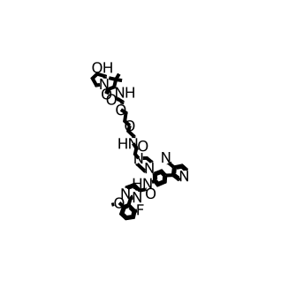 COc1cccc(F)c1-c1nccc(C(=O)Nc2ccc(-c3cnccc3C#N)cc2N2CCN(CC(=O)NCCOCCOCC(=O)N[C@H](C(=O)N3CC[C@@H](O)C3)C(C)(C)C)CC2)n1